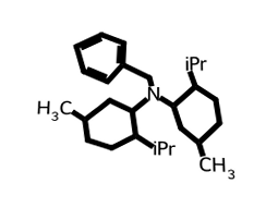 CC1CCC(C(C)C)C(N(Cc2ccccc2)C2CC(C)CCC2C(C)C)C1